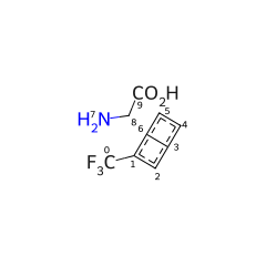 FC(F)(F)c1cc2ccc1-2.NCC(=O)O